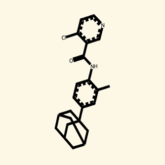 Cc1cc(C23CC4CC(CC(C4)C2)C3)ccc1NC(=O)c1cnccc1Cl